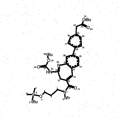 CCCN(CCCO[Si](C)(C)C(C)(C)C)C(=O)C1=Cc2ccc(-c3ccc(CC(=O)OCC(C)C)cc3)cc2N=C(NC(=O)OC(C)(C)C)C1